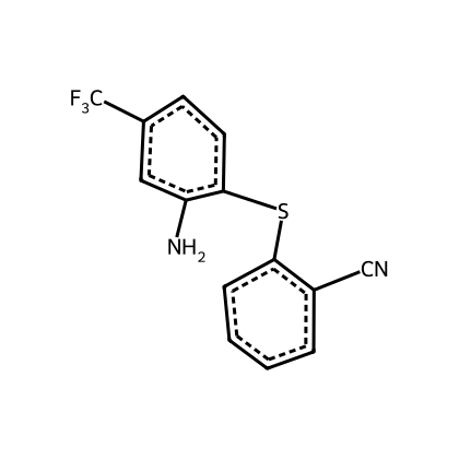 N#Cc1ccccc1Sc1ccc(C(F)(F)F)cc1N